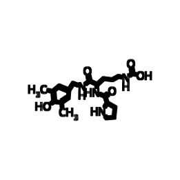 Cc1cc(CNC(=O)C(CCCNC(=O)O)NC(=O)C2CCCN2)cc(C)c1O